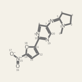 CN1CCCC1=Nc1cnc(-c2ccc([N+](=O)[O-])o2)nc1